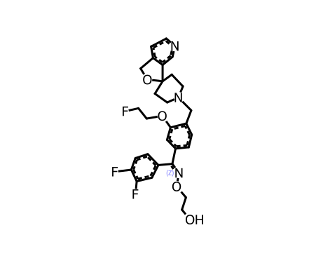 OCCO/N=C(\c1ccc(F)c(F)c1)c1ccc(CN2CCC3(CC2)OCc2ccncc23)c(OCCF)c1